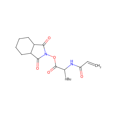 C=CC(=O)NC(CCCC)C(=O)ON1C(=O)C2CCCCC2C1=O